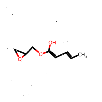 CC=CC=C(O)OCC1CO1